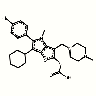 CN1CCN(Cc2c(OC(=O)O)sc3c(C4CCCCC4)c(-c4ccc(Cl)cc4)n(C)c23)CC1